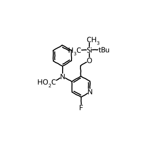 CC(C)(C)[Si](C)(C)OCc1cnc(F)cc1N(C(=O)O)c1ccccc1